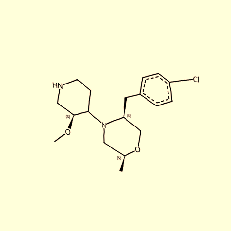 CO[C@H]1CNCCC1N1C[C@H](C)OC[C@@H]1Cc1ccc(Cl)cc1